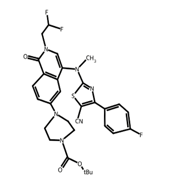 CN(c1nc(-c2ccc(F)cc2)c(C#N)s1)c1cn(CC(F)F)c(=O)c2ccc(N3CCN(C(=O)OC(C)(C)C)CC3)cc12